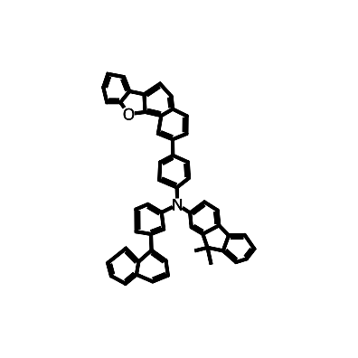 CC1(C)c2ccccc2-c2ccc(N(c3ccc(-c4ccc5ccc6c7ccccc7oc6c5c4)cc3)c3cccc(-c4cccc5ccccc45)c3)cc21